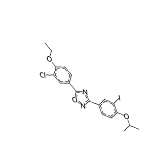 CCOc1ccc(-c2nc(-c3ccc(OC(C)C)c(I)c3)no2)cc1Cl